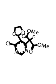 COC(=O)C(F)(C(=O)OC)c1ncnc(Cl)c1C1OCCO1